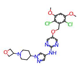 COc1cc(OC)c(Cl)c(COc2cnc(Nc3cnn(C4CCN(C5COC5)CC4)c3)nc2)c1Cl